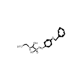 CCOC(=O)CNC(O)P(=O)(O)OOc1ccc(OCc2ccccc2)cc1